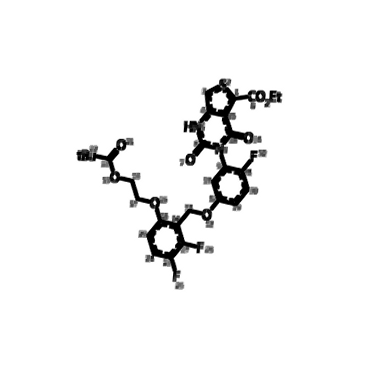 CCOC(=O)c1scc2[nH]c(=O)n(-c3cc(OCc4c(OCCOC(=O)C(C)(C)C)ccc(F)c4F)ccc3F)c(=O)c12